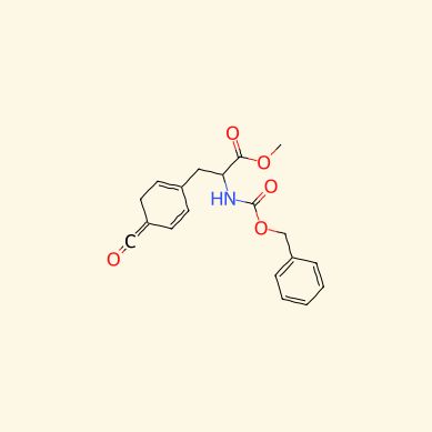 COC(=O)C(CC1=CCC(=C=O)C=C1)NC(=O)OCc1ccccc1